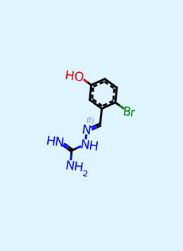 N=C(N)N/N=C/c1cc(O)ccc1Br